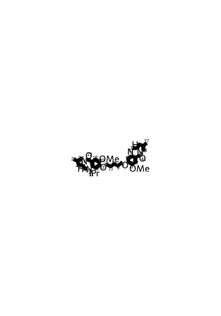 COc1cc2c(cc1OCCCCCOc1cc3c(cc1OC)C(=O)N1C=C(C)C[C@H]1CN3C(C)C)N=C[C@@H]1CC(C)=CN1C2=O